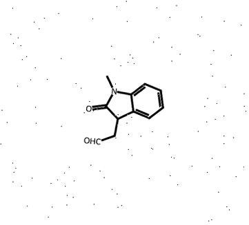 CN1C(=O)C(CC=O)c2ccccc21